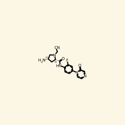 N#CCN1C[C@@H](N)C[C@H]1C(=O)Nc1ccc(-n2ccncc2=O)cc1F